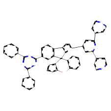 c1ccc(-c2nc(-c3ccccc3)nc(-c3ccc4c(c3)C3(c5ccccc5Oc5ccccc53)c3cc(-c5cc(-c6ccncc6)nc(-c6ccncc6)c5)ccc3-4)n2)cc1